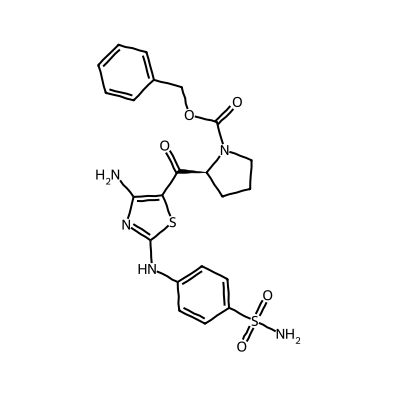 Nc1nc(Nc2ccc(S(N)(=O)=O)cc2)sc1C(=O)[C@@H]1CCCN1C(=O)OCc1ccccc1